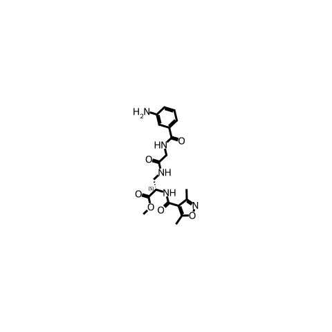 COC(=O)[C@H](CNC(=O)CNC(=O)c1cccc(N)c1)NC(=O)c1c(C)noc1C